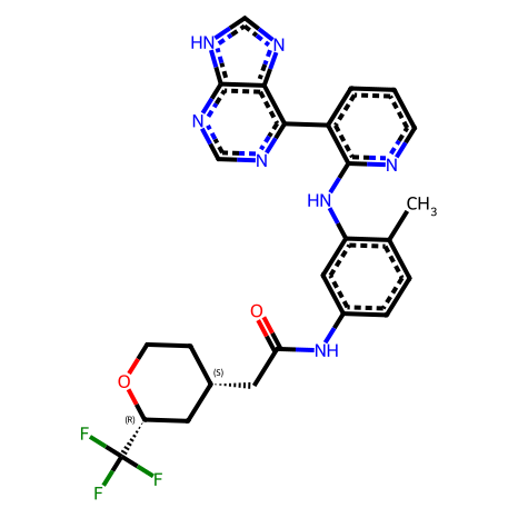 Cc1ccc(NC(=O)C[C@H]2CCO[C@@H](C(F)(F)F)C2)cc1Nc1ncccc1-c1ncnc2[nH]cnc12